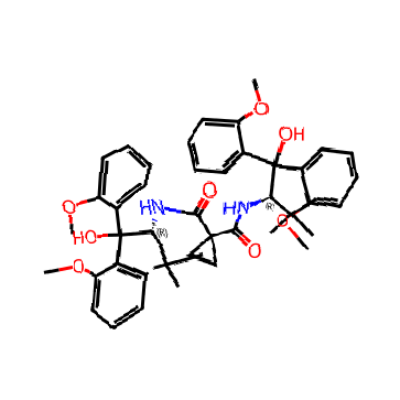 COc1ccccc1C(O)(c1ccccc1OC)[C@H](NC(=O)C1(C(=O)N[C@H](C(C)(C)C)C(O)(c2ccccc2OC)c2ccccc2OC)CC1)C(C)(C)C